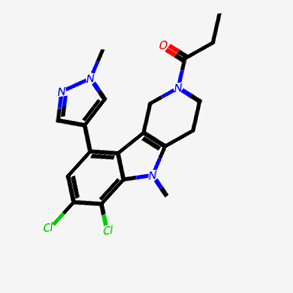 CCC(=O)N1CCc2c(c3c(-c4cnn(C)c4)cc(Cl)c(Cl)c3n2C)C1